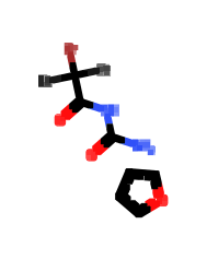 CCC(Br)(CC)C(=O)NC(N)=O.c1ccoc1